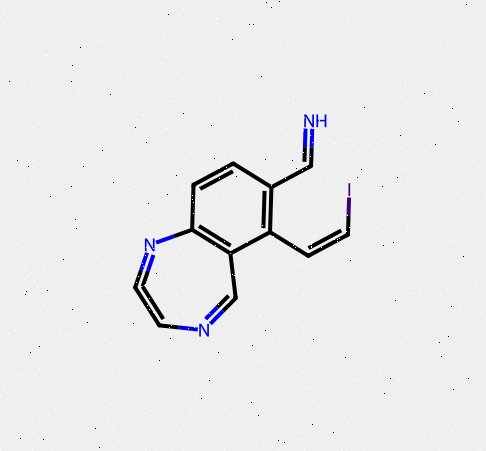 N=Cc1ccc2c(c1/C=C\I)C=NC=C=N2